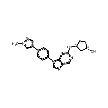 Cn1cc(-c2ccc(-n3cnc4cnc(N[C@H]5CC[C@H](O)C5)nc43)cc2)cn1